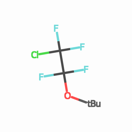 CC(C)(C)OC(F)(F)C(F)(F)Cl